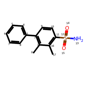 Cc1c(-c2ccccc2)ccc(S(N)(=O)=O)c1C